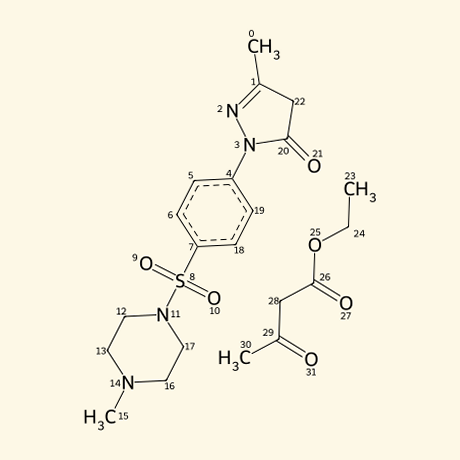 CC1=NN(c2ccc(S(=O)(=O)N3CCN(C)CC3)cc2)C(=O)C1.CCOC(=O)CC(C)=O